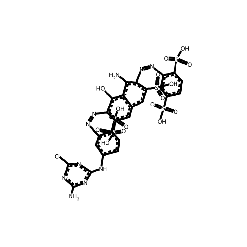 Nc1nc(Cl)nc(Nc2ccc(S(=O)(=O)O)c(/N=N\c3c(S(=O)(=O)O)cc4cc(S(=O)(=O)O)c(/N=N\c5cc(S(=O)(=O)O)ccc5S(=O)(=O)O)c(N)c4c3O)c2)n1